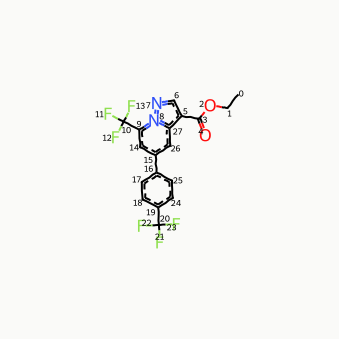 CCOC(=O)c1cnn2c(C(F)(F)F)cc(-c3ccc(C(F)(F)F)cc3)cc12